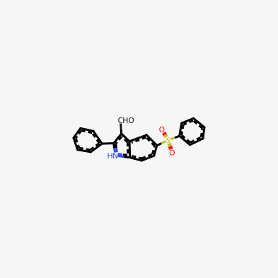 O=Cc1c(-c2ccccc2)[nH]c2ccc(S(=O)(=O)c3ccccc3)cc12